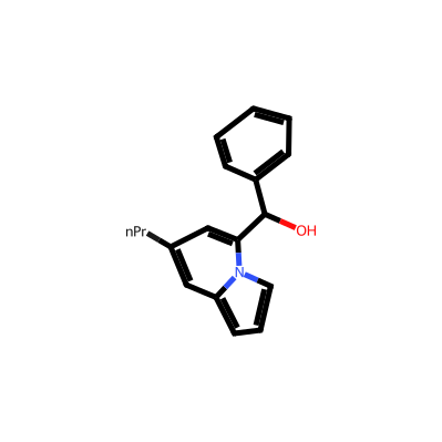 CCCc1cc(C(O)c2ccccc2)n2cccc2c1